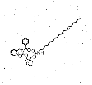 CCCCCCCCCCCCCCCCCCNC(=O)OCC1(COC(=O)N(Cc2ccccn2)C(=O)c2ccccc2)CCCO1